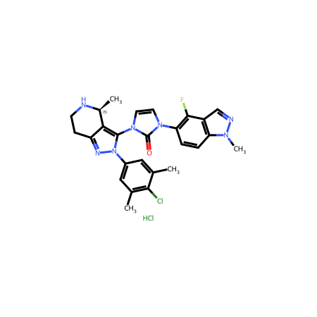 Cc1cc(-n2nc3c(c2-n2ccn(-c4ccc5c(cnn5C)c4F)c2=O)[C@H](C)NCC3)cc(C)c1Cl.Cl